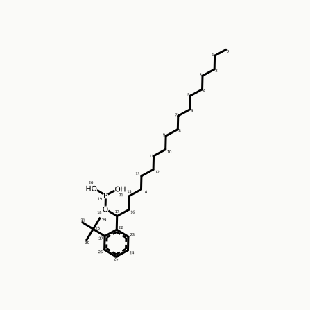 CCCCCCCCCCCCCCCCCC(OP(O)O)c1ccccc1C(C)(C)C